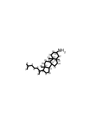 CC(C)CCCC(C)C1CCC2C3CC[C@@]4(C)CC(N)CCC4(C)C3CCC12C